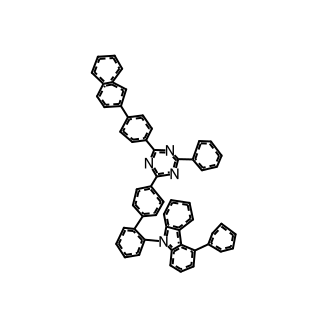 c1ccc(-c2nc(-c3ccc(-c4ccc5ccccc5c4)cc3)nc(-c3ccc(-c4ccccc4-n4c5ccccc5c5c(-c6ccccc6)cccc54)cc3)n2)cc1